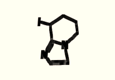 IC1CCCn2ccnc21